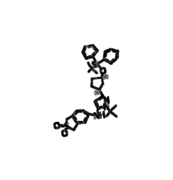 CC(C)(C)n1nc([C@H]2CC[C@@H](O[Si](c3ccccc3)(c3ccccc3)C(C)(C)C)C2)cc1Nc1ccc2c(c1)CS(=O)(=O)C2